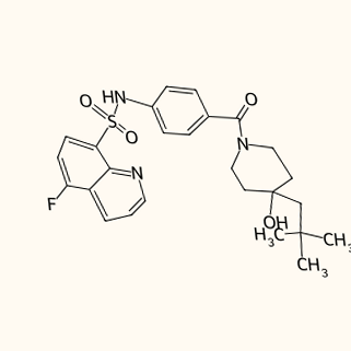 CC(C)(C)CC1(O)CCN(C(=O)c2ccc(NS(=O)(=O)c3ccc(F)c4cccnc34)cc2)CC1